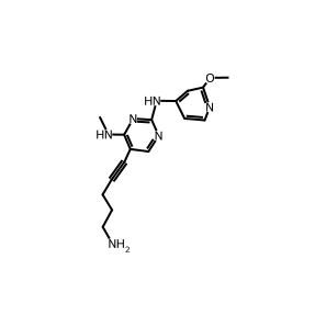 CNc1nc(Nc2ccnc(OC)c2)ncc1C#CCCCN